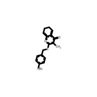 CCCCc1ccc(CSc2oc3c(c(=O)c2C)=CCCC=3)cc1